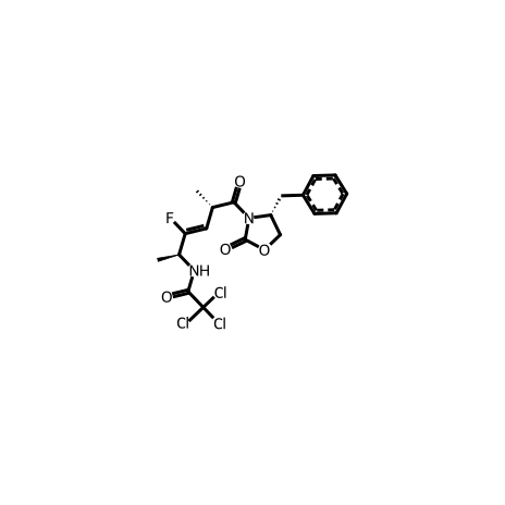 C[C@H](NC(=O)C(Cl)(Cl)Cl)C(F)=C[C@H](C)C(=O)N1C(=O)OC[C@H]1Cc1ccccc1